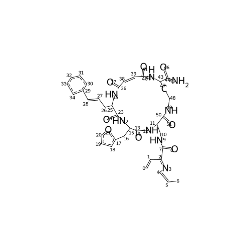 C=C/C(=N\C=C/C)C(=O)NCC1NC(=O)C(Cc2ccco2)NC(=O)C(C/C=C/c2ccccc2)NC(=O)C=CC(=O)NC(C(N)=O)CCNC1=O